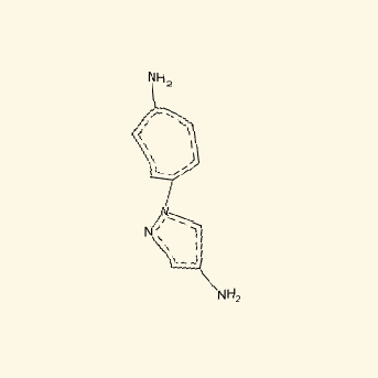 Nc1ccc(-n2cc(N)cn2)cc1